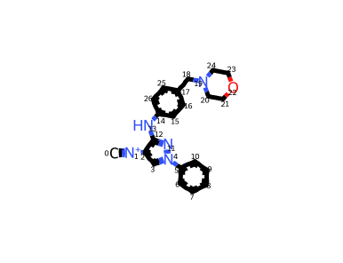 [C-]#[N+]c1cn(-c2ccccc2)nc1Nc1ccc(CN2CCOCC2)cc1